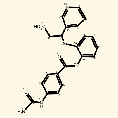 NC(=O)Nc1ccc(C(=O)Nc2ccccc2SC(CC(=O)O)c2cccnc2)cc1